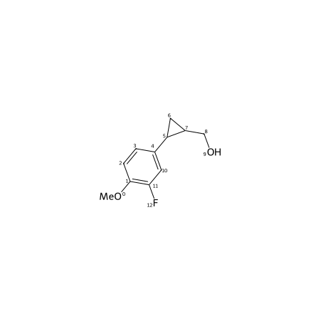 COc1ccc(C2CC2CO)cc1F